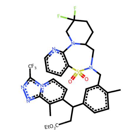 CCOC(=O)CC(c1ccc(C)c(CN2CC3CCC(F)(F)CN3c3ncccc3S2(=O)=O)c1)c1ccn2c(C(F)(F)F)nnc2c1C